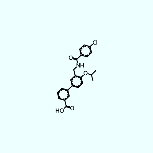 CC(C)Oc1ccc(-c2cccc(C(=O)O)c2)cc1CNC(=O)c1ccc(Cl)cc1